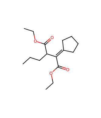 CCCC(C(=O)OCC)C(C(=O)OCC)=C1CCCC1